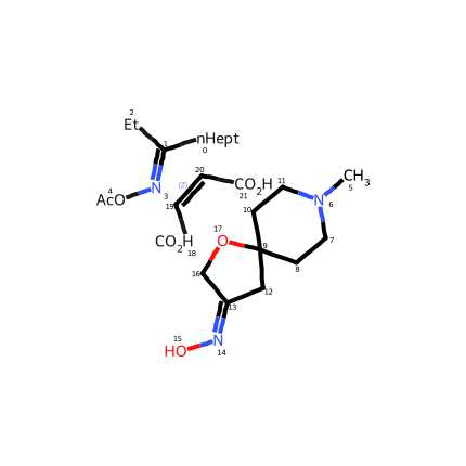 CCCCCCCC(CC)=NOC(C)=O.CN1CCC2(CC1)CC(=NO)CO2.O=C(O)/C=C\C(=O)O